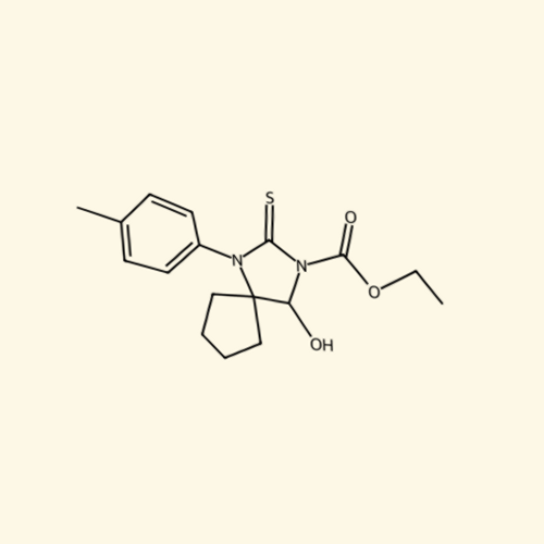 CCOC(=O)N1C(=S)N(c2ccc(C)cc2)C2(CCCC2)C1O